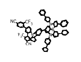 N#Cc1ccc(-c2ccc(-n3c4ccccc4c4cc(-c5cc6c7c(c5)N(c5ccc(-c8ccccc8)cc5)c5ccc(-c8ccccc8)cc5B7c5cc(-c7ccccc7)ccc5N6c5ccc(-c6ccccc6)cc5)ccc43)c(-c3ccc(C#N)cc3C(F)(F)F)c2)c(C(F)(F)F)c1